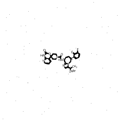 COC(C)c1cnc2n1C[C@H](c1cccc(F)c1F)CC[C@H]2NC(=O)N1CCC2(CC1)OC(=O)Nc1ncccc12